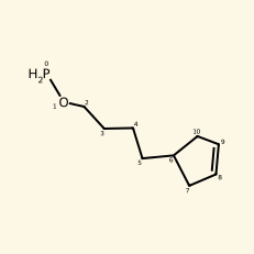 POCCCCC1CC=CC1